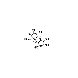 O=C(O)[C@H](O)[C@@H](O)[C@H](O[C@@H]1O[C@H](CO)[C@@H](O)[C@H](O)[C@H]1O)[C@H](O)CO